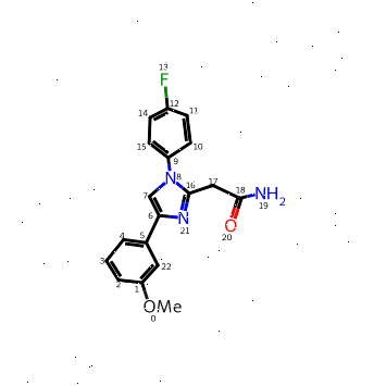 COc1cccc(-c2cn(-c3ccc(F)cc3)c(CC(N)=O)n2)c1